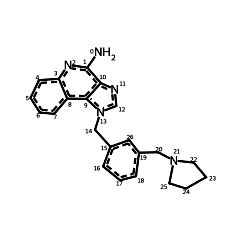 Nc1nc2ccccc2c2c1ncn2Cc1cccc(CN2CCCC2)c1